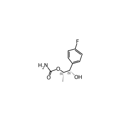 C[C@H](OC(N)=O)[C@@H](O)c1ccc(F)cc1